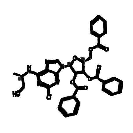 C[C@H](CO)Nc1nc(Cl)nc2c1ncn2[C@@H]1O[C@H](COC(=O)c2ccccc2)C(OC(=O)c2ccccc2)C1OC(=O)c1ccccc1